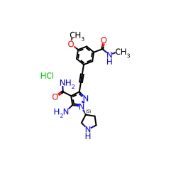 CNC(=O)c1cc(C#Cc2nn([C@H]3CCNC3)c(N)c2C(N)=O)cc(OC)c1.Cl